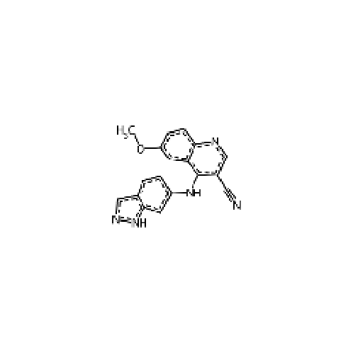 COc1ccc2ncc(C#N)c(Nc3ccc4cn[nH]c4c3)c2c1